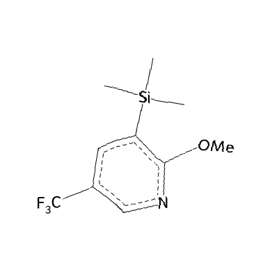 COc1ncc(C(F)(F)F)cc1[Si](C)(C)C